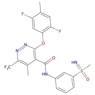 Cc1cc(F)c(Oc2nnc(C(F)(F)F)c(C)c2C(=O)Nc2cccc(S(C)(=N)=O)c2)cc1F